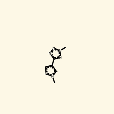 Cn1[c]c(-c2nnn(C)n2)cn1